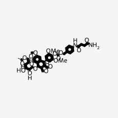 COc1cc([C@@H]2c3cc4c(cc3[C@@H](O[C@@H]3O[C@@H]5CO[C@@H](C)O[C@H]5[C@H](O)[C@H]3O)C3COC(=O)[C@@H]32)OCO4)cc(OC)c1OC(=O)OCc1ccc(NC(=O)CCC(N)=O)cc1